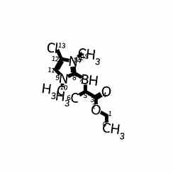 CCOC(=O)C(C)Bc1n(C)cc(Cl)[n+]1C